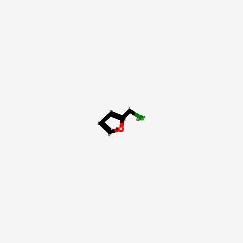 BrCc1cc[c]o1